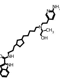 C[C@@H](CO)N(CCCCCC1CCC(CCCNC(=O)c2cc3ccccc3[nH]2)C1)CCc1ccc(N)nc1